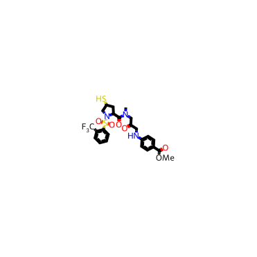 COC(=O)c1ccc(NCC(=O)CN(C)C(=O)C2CC(S)CN2S(=O)(=O)c2ccccc2C(F)(F)F)cc1